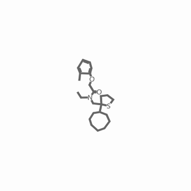 CCN(CC1(C2CCCCCCC2)CCCS1)C(=O)COc1ccccc1C